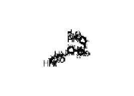 CCOC(=O)Nc1cccc(Cn2nc(-c3cccc(CNC(=O)CN4CCNCC4)c3)ccc2=O)c1